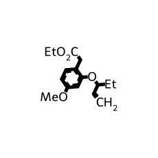 C=CC(CC)Oc1cc(OC)ccc1CC(=O)OCC